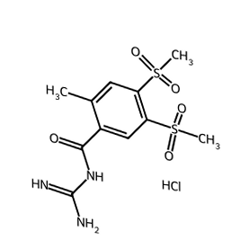 Cc1cc(S(C)(=O)=O)c(S(C)(=O)=O)cc1C(=O)NC(=N)N.Cl